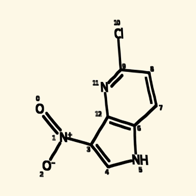 O=[N+]([O-])c1c[nH]c2ccc(Cl)nc12